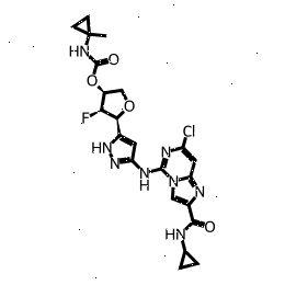 CC1(NC(=O)O[C@H]2CO[C@@H](c3cc(Nc4nc(Cl)cc5nc(C(=O)NC6CC6)cn45)n[nH]3)[C@H]2F)CC1